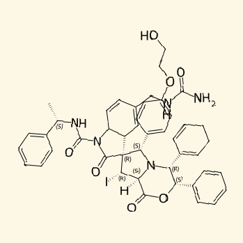 C[C@H](NC(=O)N1C(=O)[C@@]2(C3C=C(CNC(N)=O)C=CC31)[C@H](c1ccc(OCCO)cc1)N1[C@H](C3=CCCC=C3)[C@H](c3ccccc3)OC(=O)[C@H]1[C@@H]2I)c1ccccc1